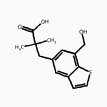 CC(C)(Cc1cc(CO)c2sccc2c1)C(=O)O